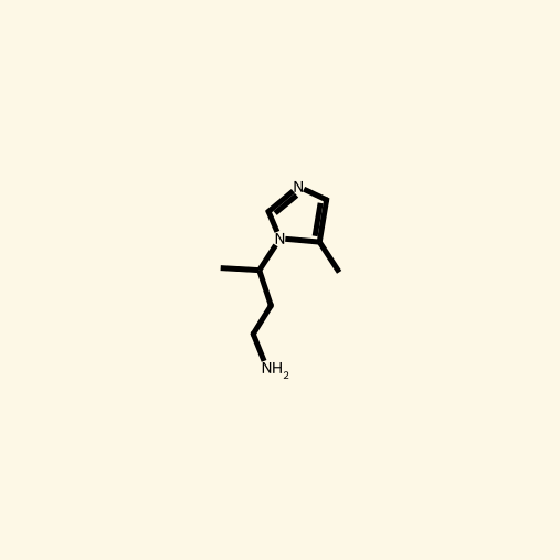 Cc1cncn1C(C)CCN